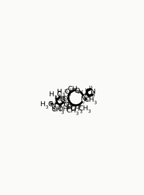 CO[C@]1(C)C[C@@H](C)CN(C)[C@H](c2ccncc2)COCC(C)(C)C[C@@H](C)[C@H]1O[C@@H]1O[C@H](C)C[C@H](N(C)C)[C@H]1O